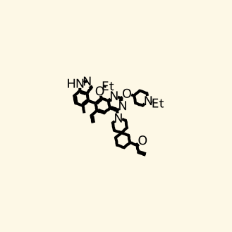 C=CC(=O)C1CCCC2(CCN(c3nc(OC4CCN(CC)CC4)nc4c(OCC)c(-c5c(C)ccc6[nH]ncc56)c(C=C)cc34)CC2)C1